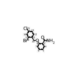 NC(=O)c1ccccc1OCc1ccc(Cl)cc1Br